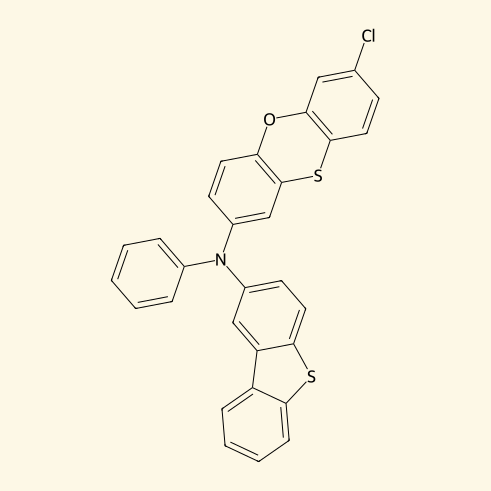 Clc1ccc2c(c1)Oc1ccc(N(c3ccccc3)c3ccc4sc5ccccc5c4c3)cc1S2